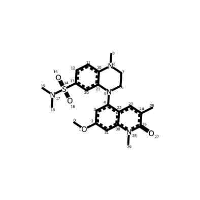 COc1cc(N2CCN(C)c3ccc(S(=O)(=O)N(C)C)cc32)c2cc(C)c(=O)n(C)c2c1